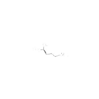 CC(C)=CCC[N+](=O)[O-]